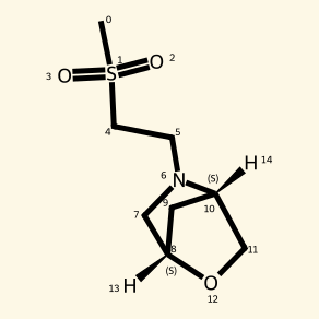 CS(=O)(=O)CCN1C[C@@H]2C[C@H]1CO2